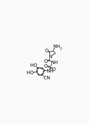 N#Cc1cc(O)c(O)cc1NS(=O)(=O)NC(=O)N1C[C@H](N)C1=O